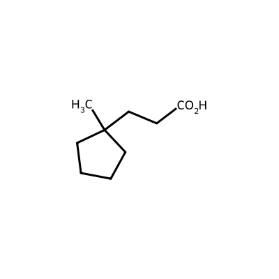 CC1(CCC(=O)O)CCCC1